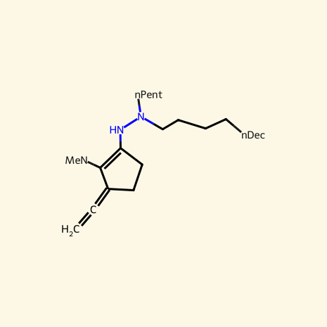 C=C=C1CCC(NN(CCCCC)CCCCCCCCCCCCCC)=C1NC